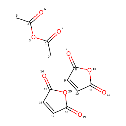 CC(=O)OC(C)=O.O=C1C=CC(=O)O1.O=C1C=CC(=O)O1